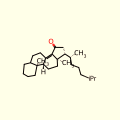 CC(C)CCC[C@@H](C)[C@H]1CC(=O)C2=C3CCC4CCCC[C@]4(C)[C@H]3CC[C@@]21C